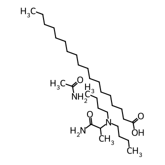 CC(N)=O.CCCCCCCCCCCCCCCCCC(=O)O.CCCCN(CCCC)C(C)C(N)=O